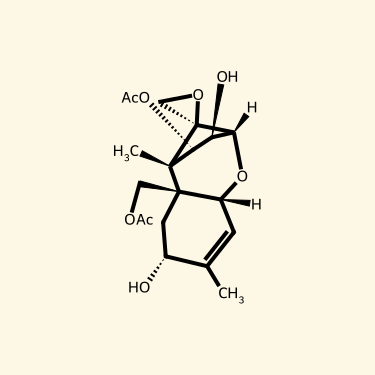 CC(=O)OC[C@]12C[C@@H](O)C(C)=C[C@H]1O[C@@H]1[C@H](O)[C@@H](OC(C)=O)[C@@]2(C)[C@]12CO2